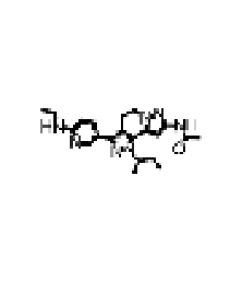 CCNc1ccc(-c2nn(C(C)CC)c3c2CCn2nc(NC(C)=O)cc2-3)cn1